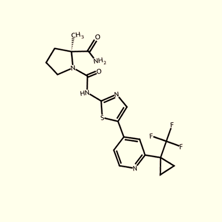 C[C@@]1(C(N)=O)CCCN1C(=O)Nc1ncc(-c2ccnc(C3(C(F)(F)F)CC3)c2)s1